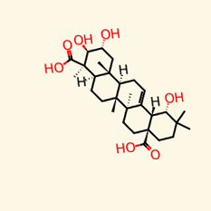 CC1(C)CC[C@]2(C(=O)O)CC[C@]3(C)C(=CC[C@@H]4[C@@]5(C)C[C@@H](O)[C@H](O)[C@](C)(C(=O)O)[C@@H]5CC[C@]43C)[C@@H]2[C@@H]1O